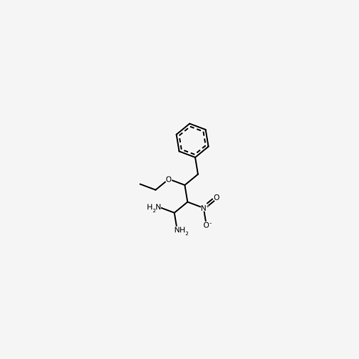 CCOC(Cc1ccccc1)C(C(N)N)[N+](=O)[O-]